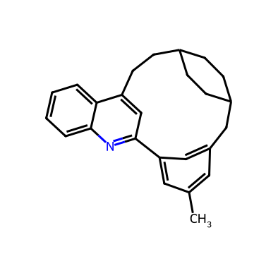 Cc1cc2cc(c1)-c1cc(c3ccccc3n1)CCC1CCC(CC1)C2